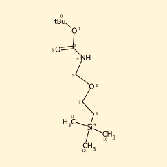 CC(C)(C)OC(=O)NCOCC[Si](C)(C)C